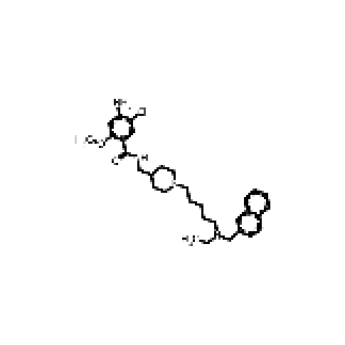 CCN(CCCCCN1CCC(CNC(=O)c2cc(Cl)c(N)cc2OC)CC1)Cc1ccc2ccccc2c1